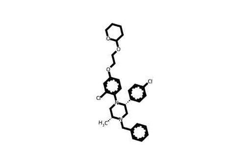 C[C@@H]1CN(c2ccc(OCCOC3CCCCO3)cc2Cl)[C@H](c2ccc(Cl)cc2)CN1Cc1ccccc1